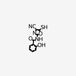 N#Cc1nc(NC(=O)c2ccccc2O)oc1S